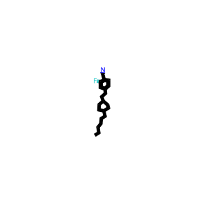 CCCCCCC1CCC(CCc2ccc(C#N)c(F)c2)CC1